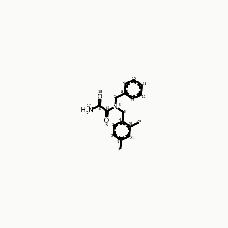 Cc1ccc(CN(Cc2ccccc2)C(=O)C(N)=O)c(C)c1